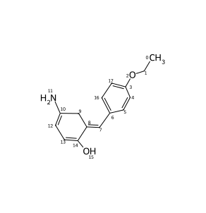 CCOc1ccc(C=C2CC(N)=CC=C2O)cc1